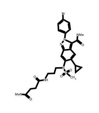 CNC(=O)CCC(=O)NCCCN(c1cc2nn(-c3ccc(Br)cc3)c(C(=O)NC)c2cc1C1CC1)S(C)(=O)=O